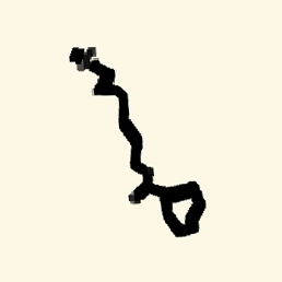 CCCCC=CCOC(=O)c1ccccc1